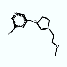 COCCN1CC[C@H](c2cncc(F)c2)C1